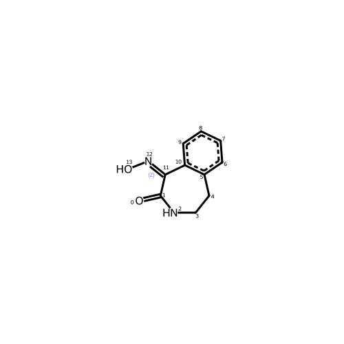 O=C1NCCc2ccccc2/C1=N/O